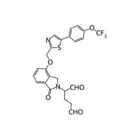 O=CCCC(C=O)N1Cc2c(OCc3ncc(-c4ccc(OC(F)(F)F)cc4)s3)cccc2C1=O